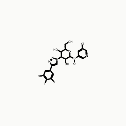 [O-][S+](c1cncc(Cl)c1)C1OC(CO)C(O)C(n2cc(-c3cc(F)c(F)c(F)c3)nn2)C1O